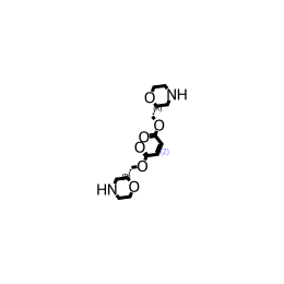 O=C(/C=C\C(=O)OC[C@H]1CNCCO1)OC[C@H]1CNCCO1